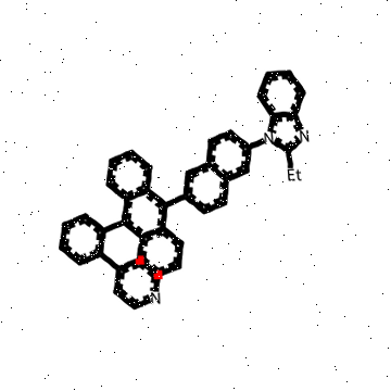 CCc1nc2ccccc2n1-c1ccc2cc(-c3c4ccccc4c(-c4ccccc4-c4ccncc4)c4ccccc34)ccc2c1